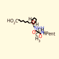 CCCCCNC(=O)C(C)(C)C(=O)NC[C@H]1[C@@H](CCCCCCC(=O)O)[C@H]2CC[C@@H]1O2